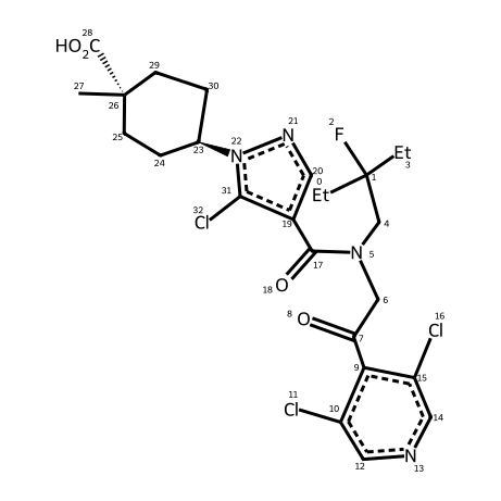 CCC(F)(CC)CN(CC(=O)c1c(Cl)cncc1Cl)C(=O)c1cnn([C@H]2CC[C@](C)(C(=O)O)CC2)c1Cl